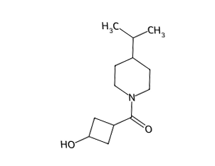 CC(C)C1CCN(C(=O)C2CC(O)C2)CC1